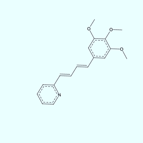 COc1cc(C=CC=Cc2ccccn2)cc(OC)c1OC